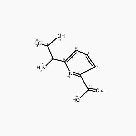 CC(O)C(N)c1cccc(C(=O)O)n1